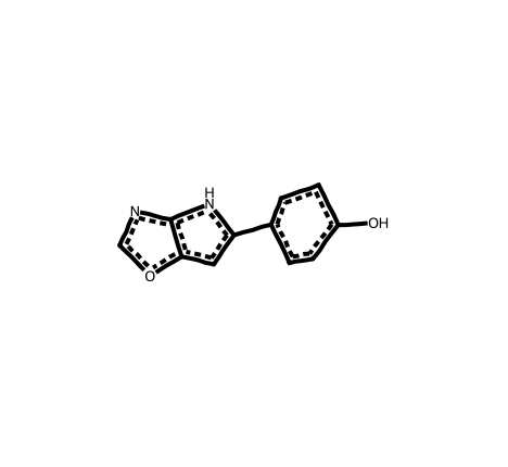 Oc1ccc(-c2cc3ocnc3[nH]2)cc1